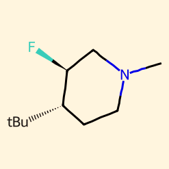 CN1CC[C@H](C(C)(C)C)[C@@H](F)C1